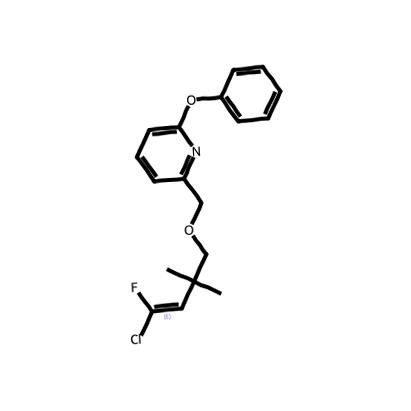 CC(C)(/C=C(\F)Cl)COCc1cccc(Oc2ccccc2)n1